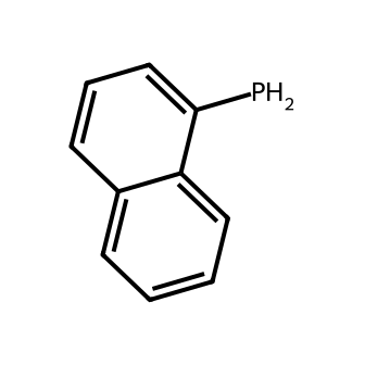 Pc1cccc2ccccc12